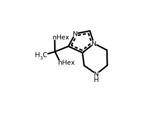 CCCCCCC(C)(CCCCCC)c1ncn2c1CNCC2